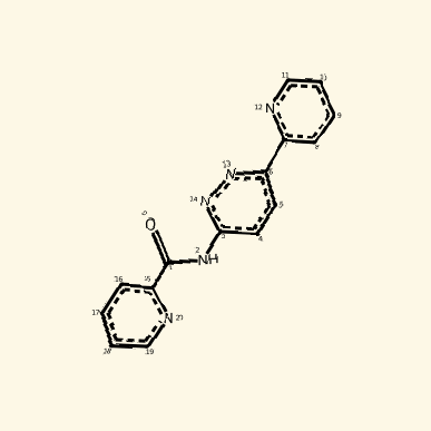 O=C(Nc1ccc(-c2ccccn2)nn1)c1ccccn1